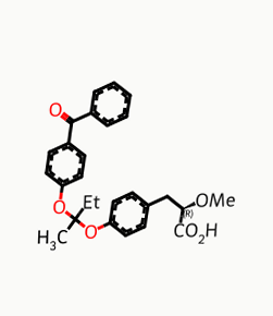 CCC(C)(Oc1ccc(C[C@@H](OC)C(=O)O)cc1)Oc1ccc(C(=O)c2ccccc2)cc1